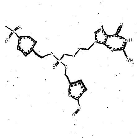 CS(=O)(=O)c1ccc(COP(=O)(COCCn2cnc3c(=O)[nH]c(N)nc32)OCc2ccc(N=O)o2)cc1